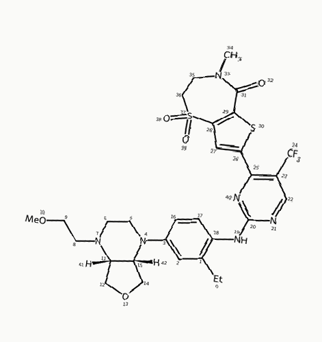 CCc1cc(N2CCN(CCOC)[C@H]3COC[C@H]32)ccc1Nc1ncc(C(F)(F)F)c(-c2cc3c(s2)C(=O)N(C)CCS3(=O)=O)n1